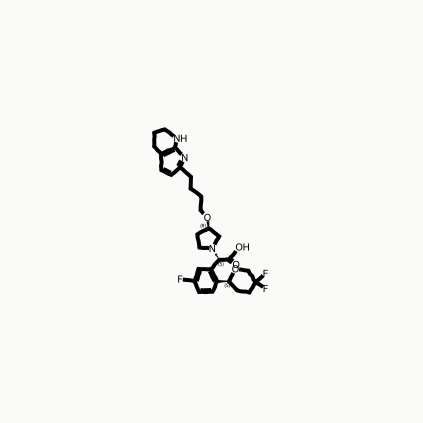 O=C(O)[C@H](c1cc(F)ccc1[C@@H]1CCC(F)(F)CO1)N1CC[C@@H](OCCCCc2ccc3c(n2)NCCC3)C1